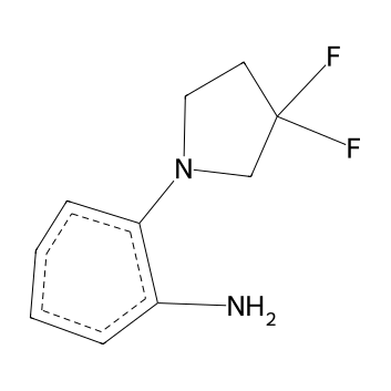 Nc1ccccc1N1CCC(F)(F)C1